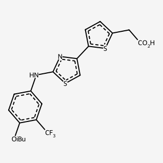 CC(C)COc1ccc(Nc2nc(-c3ccc(CC(=O)O)s3)cs2)cc1C(F)(F)F